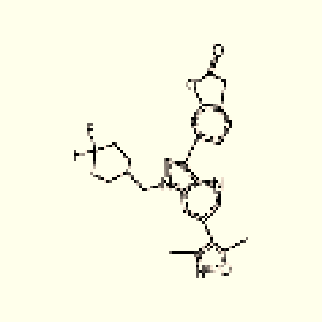 Cc1noc(C)c1-c1cnc2c(-c3ccc4c(c3)OC(=O)C4)cn(CC3CCC(F)(F)CC3)c2c1